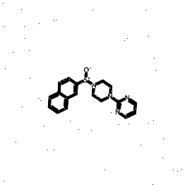 [O-][S+](c1ccc2ccccc2c1)N1CCN(c2ncccn2)CC1